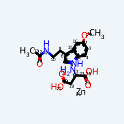 COc1ccc2[nH]cc(CCNC(C)=O)c2c1.N[C@@H](CC(=O)O)C(=O)O.[Zn]